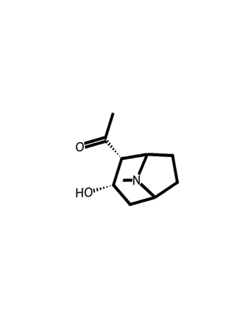 CC(=O)[C@@H]1C2CCC(C[C@@H]1O)N2C